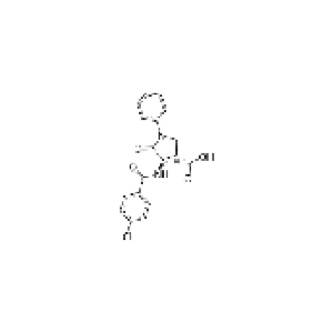 O=C(N[C@H]1C(=O)N(c2ccccc2)C[C@@H]1C(=O)O)c1ccc(Cl)cc1